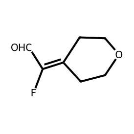 O=CC(F)=C1CCOCC1